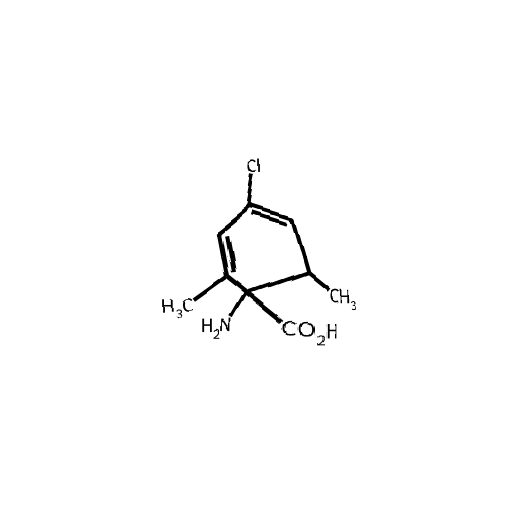 CC1=CC(Cl)=CC(C)C1(N)C(=O)O